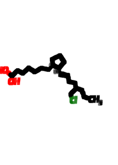 CCCC(CCl)CCC=C[C@H]1CCC[C@@H]1CCCCCCC(O)O